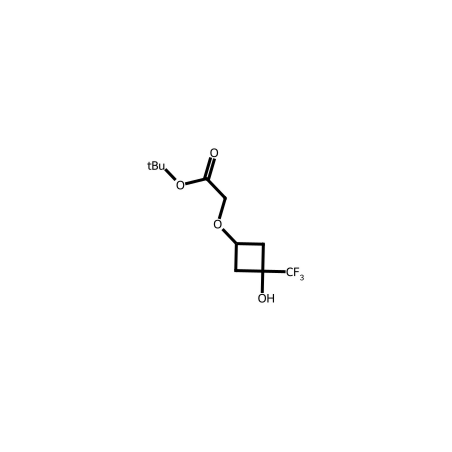 CC(C)(C)OC(=O)COC1CC(O)(C(F)(F)F)C1